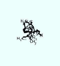 CCCCC(CC)CN1C(=O)/C(=C(\c2ccc(C#N)s2)N(C=O)CC(CC)CCCC)C(C)=C1c1ccc(C#N)s1